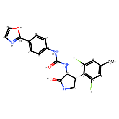 COc1cc(F)c([C@@H]2CNC(=O)[C@H]2NC(=O)Nc2ccc(-c3ncco3)cc2)c(F)c1